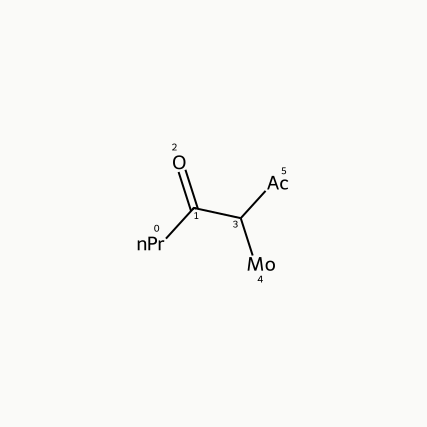 CCCC(=O)[CH]([Mo])C(C)=O